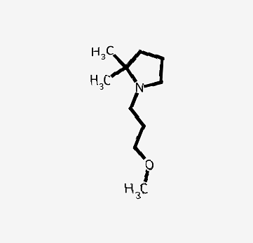 COCCCN1CCCC1(C)C